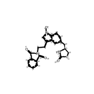 CCn1cc(CCN2C(=O)c3ccccc3C2=O)c2cc(C[C@H]3COC(=O)N3)ccc21